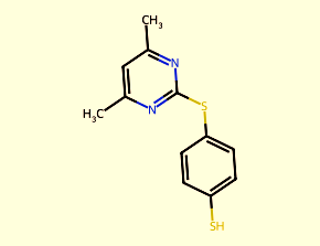 Cc1cc(C)nc(Sc2ccc(S)cc2)n1